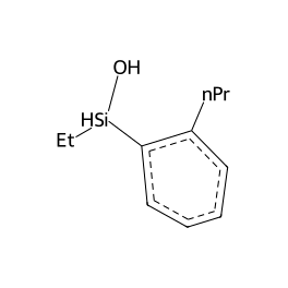 CCCc1ccccc1[SiH](O)CC